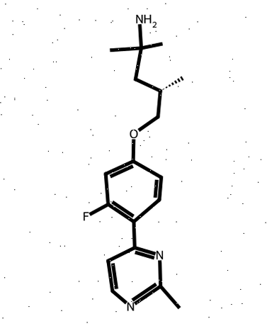 Cc1nccc(-c2ccc(OC[C@@H](C)CC(C)(C)N)cc2F)n1